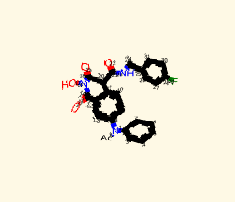 CC(=O)N(c1ccccc1)c1ccc2c(c1)C(=O)N(O)C(=O)C2C(=O)NCc1ccc(F)cc1